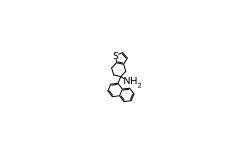 NC1(c2cccc3ccccc23)CCc2sccc2C1